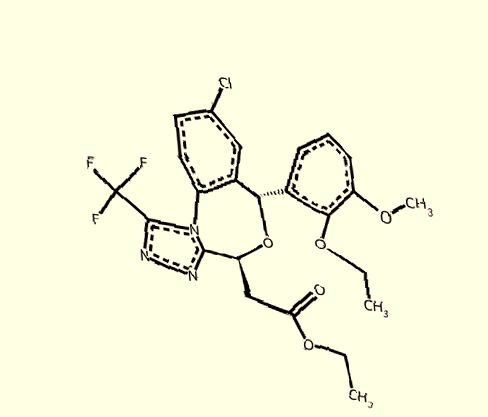 CCOC(=O)C[C@@H]1O[C@@H](c2cccc(OC)c2OCC)c2cc(Cl)ccc2-n2c1nnc2C(F)(F)F